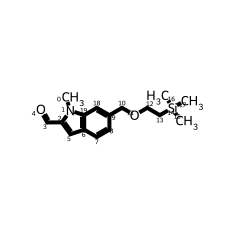 Cn1c(C=O)cc2ccc(COCC[Si](C)(C)C)cc21